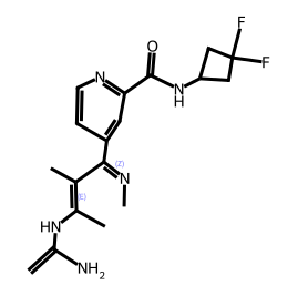 C=C(N)N/C(C)=C(C)/C(=N\C)c1ccnc(C(=O)NC2CC(F)(F)C2)c1